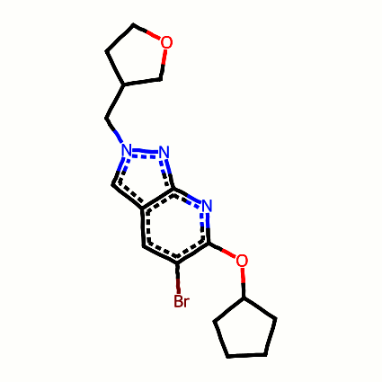 Brc1cc2cn(CC3CCOC3)nc2nc1OC1CCCC1